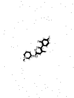 Cc1cc(N[C@@H]2CCCN(C)C2)nnc1-c1ccc(F)cc1F